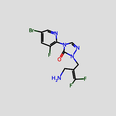 NCC(Cn1ncn(-c2ncc(Br)cc2F)c1=O)=C(F)F